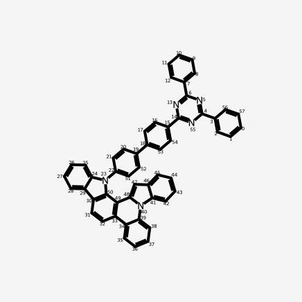 c1ccc(-c2nc(-c3ccccc3)nc(-c3ccc(-c4ccc(-n5c6ccccc6c6ccc7c8ccccc8n8c9ccccc9cc8c7c65)cc4)cc3)n2)cc1